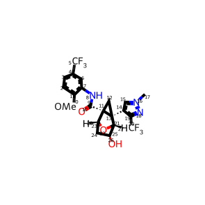 COc1ccc(C(F)(F)F)cc1NC(=O)[C@]12C[C@@]1(c1cn(C)nc1C(F)(F)F)[C@H]1O[C@@H]2C[C@@H]1O